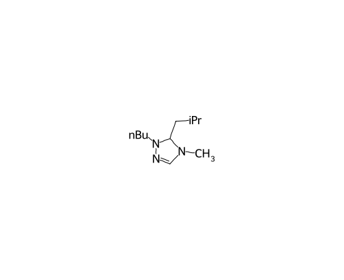 CCCCN1N=CN(C)C1CC(C)C